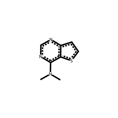 CN(C)c1ncnc2ccsc12